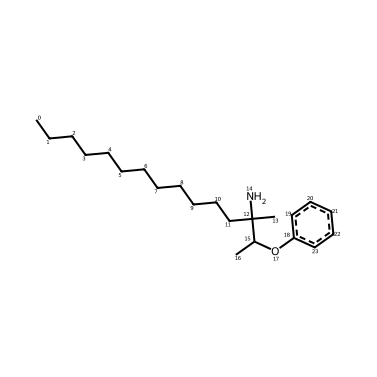 CCCCCCCCCCCCC(C)(N)C(C)Oc1ccccc1